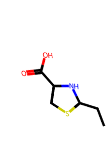 CCC1NC(C(=O)O)CS1